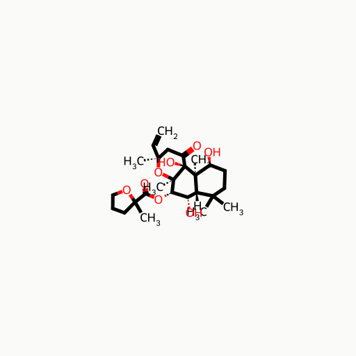 C=C[C@@]1(C)CC(=O)[C@]2(O)[C@@]3(C)[C@@H](O)CCC(C)(C)[C@@H]3[C@H](O)[C@H](OC(=O)C3(C)CCCO3)[C@@]2(C)O1